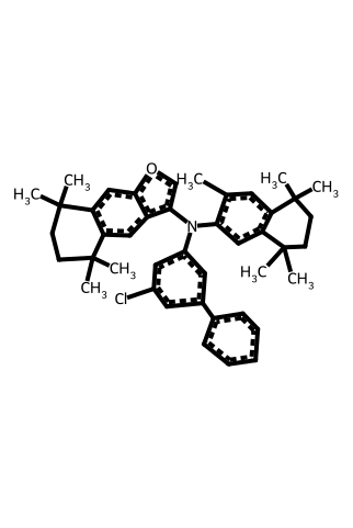 Cc1cc2c(cc1N(c1cc(Cl)cc(-c3ccccc3)c1)c1coc3cc4c(cc13)C(C)(C)CCC4(C)C)C(C)(C)CCC2(C)C